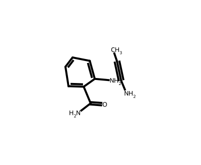 CC#CN.NC(=O)c1ccccc1N